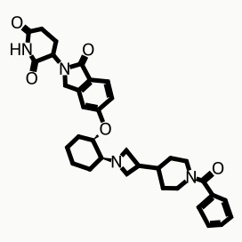 O=C1CCC(N2Cc3cc(O[C@H]4CCCC[C@@H]4N4CC(C5CCN(C(=O)c6ccccc6)CC5)C4)ccc3C2=O)C(=O)N1